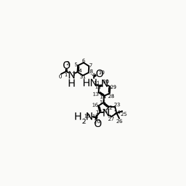 CC(=O)NC1=CCC[C@H](C(=O)Nc2cc(-c3cc(C(N)=O)n4c3CC(C)(C)C4)ccn2)C1